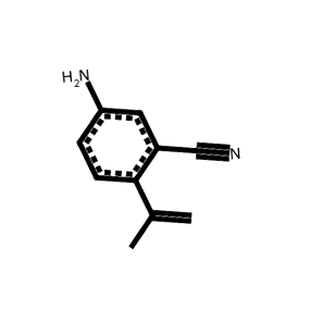 C=C(C)c1ccc(N)cc1C#N